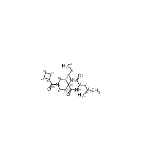 CCCN1C(=O)C(CC(C)C)NC(=O)C12CCN(C(=O)C1CCC1)CC2